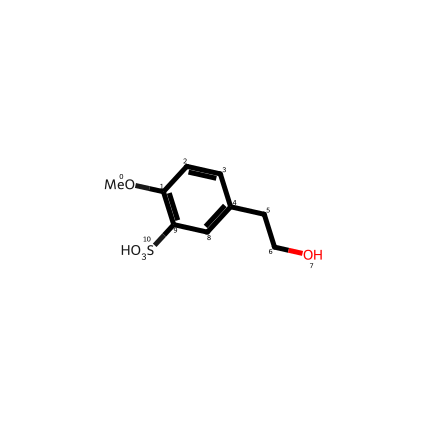 COc1ccc(CCO)cc1S(=O)(=O)O